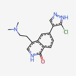 CN(C)CCc1c[nH]c(=O)c2ccc(-c3cn[nH]c3Cl)cc12